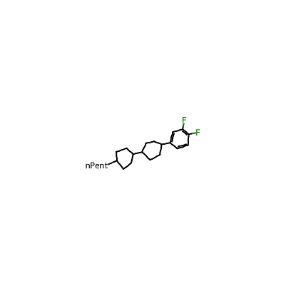 CCCCCC1CCC(C2CCC(c3ccc(F)c(F)c3)CC2)CC1